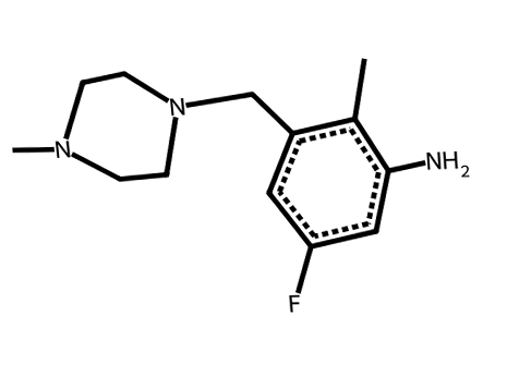 Cc1c(N)cc(F)cc1CN1CCN(C)CC1